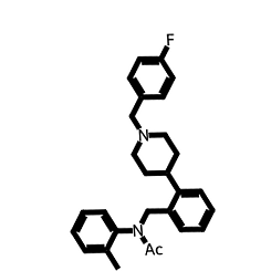 CC(=O)N(Cc1ccccc1C1CCN(Cc2ccc(F)cc2)CC1)c1ccccc1C